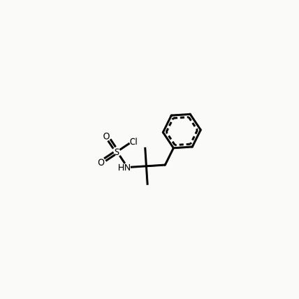 CC(C)(Cc1ccccc1)NS(=O)(=O)Cl